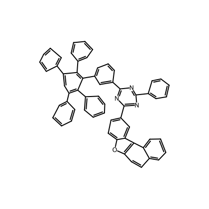 c1ccc(-c2nc(-c3cccc(-c4c(-c5ccccc5)c(-c5ccccc5)cc(-c5ccccc5)c4-c4ccccc4)c3)nc(-c3ccc4oc5ccc6ccccc6c5c4c3)n2)cc1